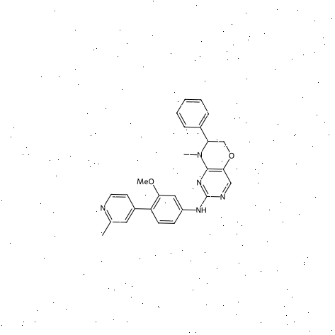 COc1cc(Nc2ncc3c(n2)N(C)C(c2ccccc2)CO3)ccc1-c1ccnc(C)c1